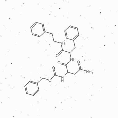 NC(=O)CC(NC(=O)OCc1ccccc1)C(=O)NC(Cc1ccccc1)C(=O)NCCc1ccccc1